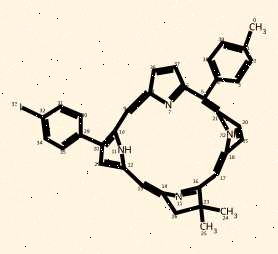 Cc1ccc(-c2c3nc(cc4[nH]c(cc5nc(cc6ccc2[nH]6)C(C)(C)C5)cc4-c2ccc(I)cc2)C=C3)cc1